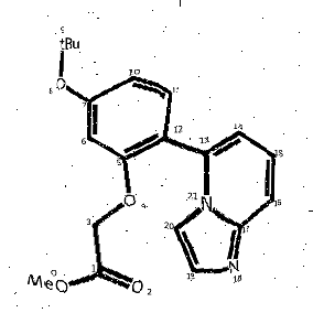 COC(=O)COc1cc(OC(C)(C)C)ccc1-c1cccc2nccn12